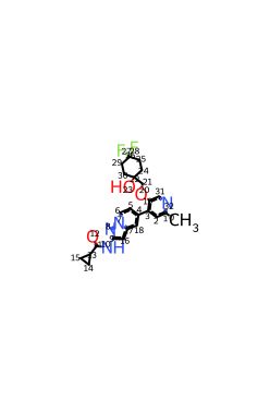 Cc1cc(-c2ccn3nc(NC(=O)C4CC4)cc3c2)c(OCC2(O)CCC(F)(F)CC2)cn1